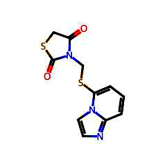 O=C1CSC(=O)N1CSc1cccc2nccn12